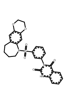 O=c1[nH]c2ccccc2c(=O)n1-c1cccc(S(=O)(=O)N2CCCCc3cc4c(cc32)OCCO4)c1